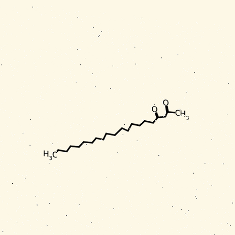 CCCCCCCCCCCCCCCCCC(=O)CC(C)=O